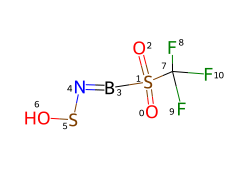 O=S(=O)(/B=N/SO)C(F)(F)F